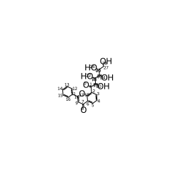 O=C(c1cccc2c(=O)cc(-c3ccccc3)oc12)[C@H](O)[C@@H](O)[C@H](O)[C@H](O)CO